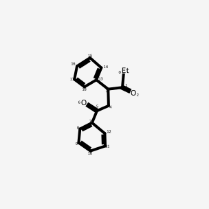 CCC(=O)C(CC(=O)c1ccccc1)c1ccccc1